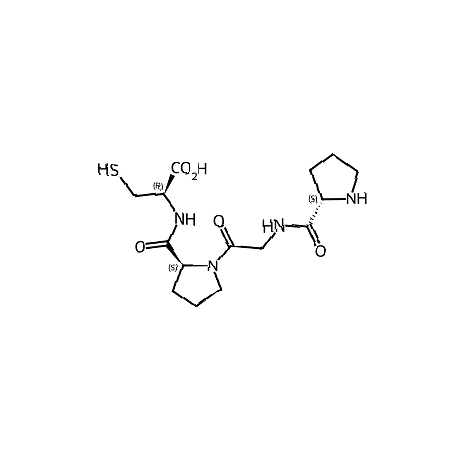 O=C(O)[C@H](CS)NC(=O)[C@@H]1CCCN1C(=O)CNC(=O)[C@@H]1CCCN1